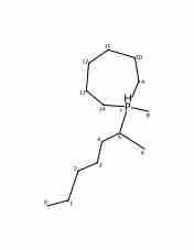 CCCCCC(C)[PH]1(C)CCCCCC1